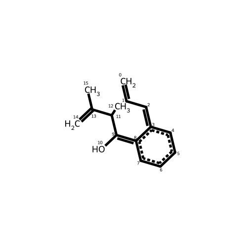 C=C/C=c1/cccc/c1=C(\O)C(C)C(=C)C